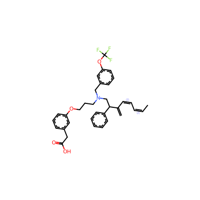 C=C(/C=C\C=C/C)C(CN(CCCOc1cccc(CC(=O)O)c1)Cc1cccc(OC(F)(F)F)c1)c1ccccc1